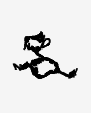 N#Cc1ccc(C#N)c(-c2nc[c]o2)c1